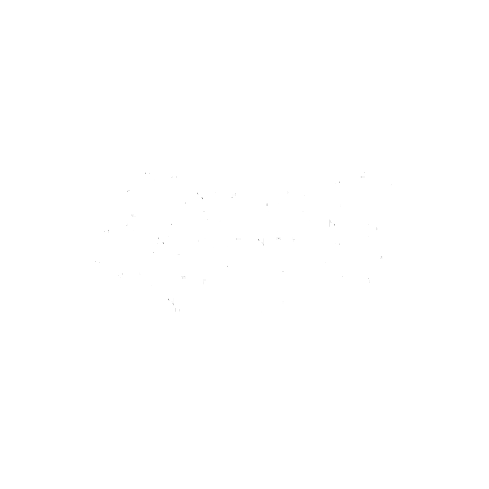 N#Cc1cc(-c2ccccc2-n2c3ccccc3c3ccc(-n4c5ccccc5c5ccccc54)cc32)ccc1-n1c2ccccc2c2cccc(C#N)c21